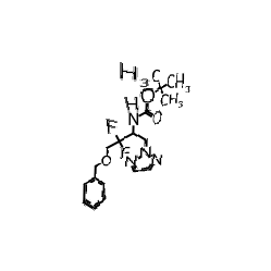 CC(C)(C)OC(=O)NC(Cn1nccn1)C(F)(F)COCc1ccccc1